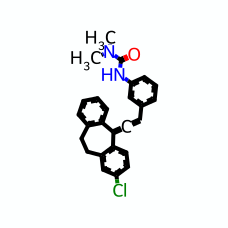 CN(C)C(=O)Nc1cccc(C=C=C2c3ccccc3CCc3cc(Cl)ccc32)c1